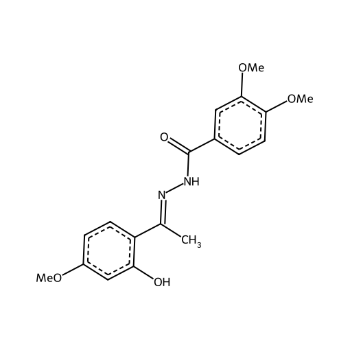 COc1ccc(C(C)=NNC(=O)c2ccc(OC)c(OC)c2)c(O)c1